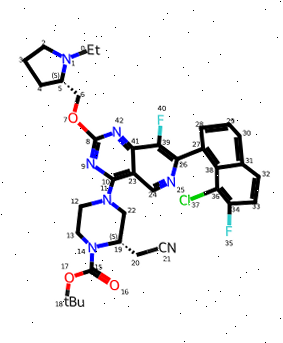 CCN1CCC[C@H]1COc1nc(N2CCN(C(=O)OC(C)(C)C)[C@@H](CC#N)C2)c2cnc(-c3cccc4ccc(F)c(Cl)c34)c(F)c2n1